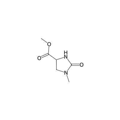 COC(=O)C1CN(C)C(=O)N1